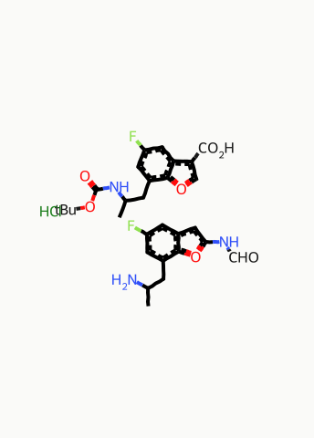 CC(Cc1cc(F)cc2c(C(=O)O)coc12)NC(=O)OC(C)(C)C.CC(N)Cc1cc(F)cc2cc(NC=O)oc12.Cl